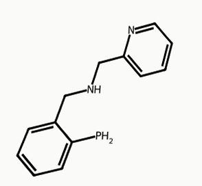 Pc1ccccc1CNCc1ccccn1